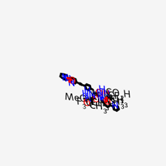 COC(=O)N[C@H](C(=O)N[C@@H](Cc1ccc(C#Cc2ccc(N3CC4CCC(C3)N4C3COC3)nc2)cc1)[C@@H](O)CN(Cc1ccc(-c2ccccn2)cc1F)NC(=O)[C@@H](NC(=O)O)C(C)(C)C(F)(F)F)C(C)(C)C(F)(F)F